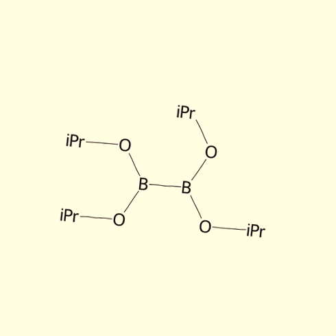 CC(C)OB(OC(C)C)B(OC(C)C)OC(C)C